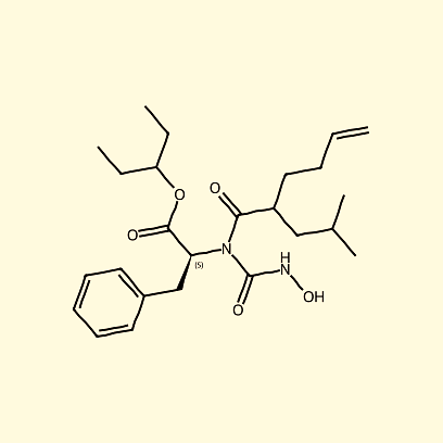 C=CCCC(CC(C)C)C(=O)N(C(=O)NO)[C@@H](Cc1ccccc1)C(=O)OC(CC)CC